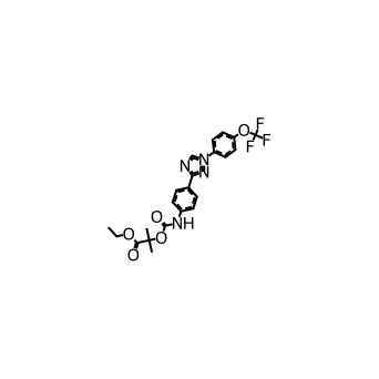 CCOC(=O)C(C)(C)OC(=O)Nc1ccc(-c2ncn(-c3ccc(OC(F)(F)F)cc3)n2)cc1